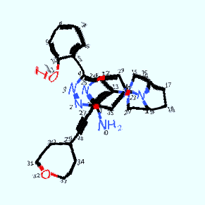 Nc1nnc(-c2ccccc2O)cc1N1CC2CCC(C1)N2c1ccnc(C#CC2CCOCC2)c1